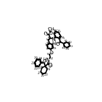 COC(=O)C(Cc1ccc(OCCNC(=O)C2(Cc3ccccc3)CCCCC2)cc1)Nc1ccccc1C(=O)c1ccccc1